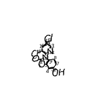 O=c1oc2cc(O)ccc2n1-c1ncc(Cl)cc1Cl